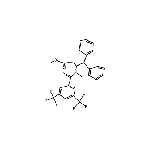 COC(=O)CC(C(c1ccccc1)c1ccccc1)N(C)C(=O)c1cc(C(F)(F)F)cc(C(F)(F)F)c1